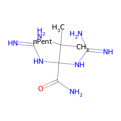 CCCCCC(C)(C)C(NC(=N)N)(NC(=N)N)C(N)=O